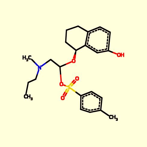 CCCN(C)CC(O[C@H]1CCCc2ccc(O)cc21)OS(=O)(=O)c1ccc(C)cc1